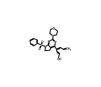 C=C/C=C(\C=C\O)c1nc(N2CCOCC2)nc2c1CCN2S(=O)(=O)c1ccccc1